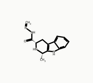 C=NNC(=O)[C@@H]1Cc2c([nH]c3ccccc23)[C@H](C)N1